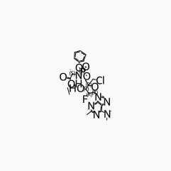 CCOC(=O)[C@H](C)N[P@](=O)(OC[C@@]1(CCl)O[C@@H](n2cnc3c(N(C)C)nc(C)nc32)[C@H](F)[C@@H]1O)Oc1ccccc1